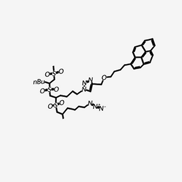 CCCCC(CS(C)(=O)=O)S(=O)(=O)CC(CCCCn1cc(COCCCCc2ccc3ccc4cccc5ccc2c3c45)nn1)S(=O)(=O)CC(C)CCCCN=[N+]=[N-]